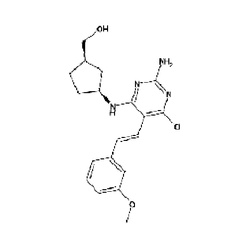 COc1cccc(/C=C/c2c(Cl)nc(N)nc2N[C@H]2CC[C@@H](CO)C2)c1